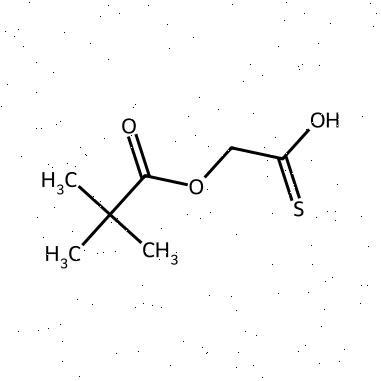 CC(C)(C)C(=O)OCC(O)=S